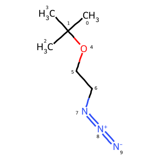 CC(C)(C)OCCN=[N+]=[N-]